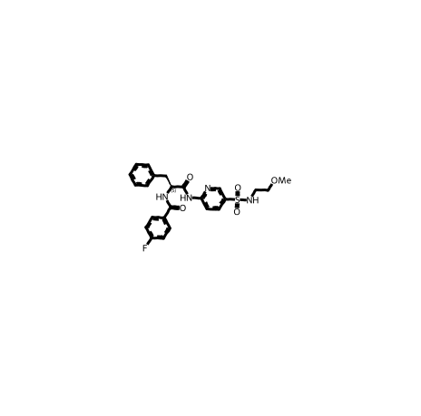 COCCNS(=O)(=O)c1ccc(NC(=O)[C@H](Cc2ccccc2)NC(=O)c2ccc(F)cc2)nc1